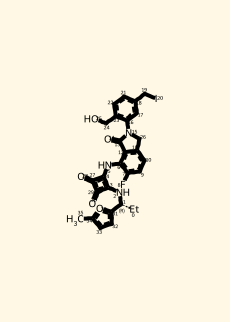 CC[C@@H](Nc1c(Nc2c(F)ccc3c2C(=O)N(c2cc(CI)ccc2CO)C3)c(=O)c1=O)c1ccc(C)o1